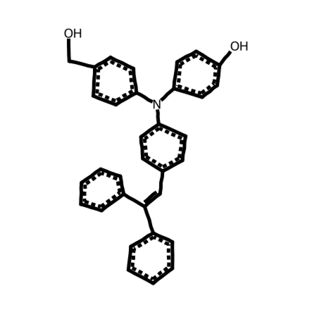 OCc1ccc(N(c2ccc(O)cc2)c2ccc(C=C(c3ccccc3)c3ccccc3)cc2)cc1